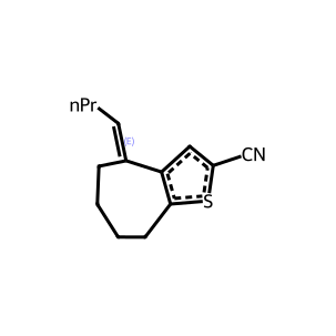 CCC/C=C1\CCCCc2sc(C#N)cc21